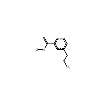 O=C(OCl)c1cccc(COC(F)(F)F)c1